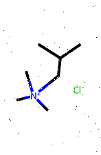 CC(C)C[N+](C)(C)C.[Cl-]